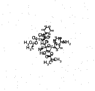 CC(C)OC(=O)[C@H](C)NP(=O)(OC[C@@]1(C#N)O[C@@H](c2ccc3c(N)ncnn23)[C@H](OC(=O)C(C)C)[C@@H]1O)Oc1ccccc1